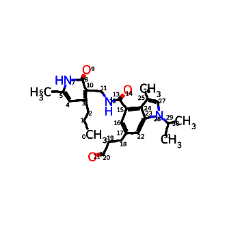 CCCc1cc(C)[nH]c(=O)c1CNC(=O)c1cc(CCC=O)cc2c1c(C)cn2C(C)C